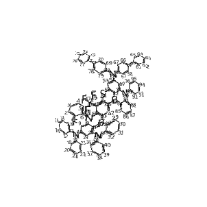 Fc1ccccc1N1c2cc(N(c3ccccc3)c3ccccc3)cc3c2B(c2ccccc2N3c2ccccc2)c2cc3c(c(C(F)(F)F)c21)Sc1cc(N(c2ccc(-c4ccccc4)cc2)c2ccc(-c4ccccc4)cc2)cc2c1B3c1ccccc1N2c1ccccc1